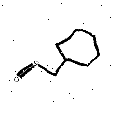 O=[S+]CC1CCCCC1